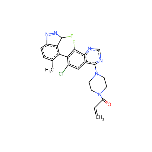 C=CC(=O)N1CCN(c2ncnc3c(F)c(-c4c(C)ccc5c4C(F)N=N5)c(Cl)cc23)CC1